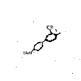 CNC1CCN(c2ccc(C)c(C(F)(F)F)c2)CC1